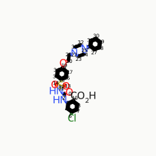 O=C(Nc1cc(Cl)ccc1C(=O)O)NS(=O)(=O)c1ccc(OCCN2CCN(c3ccccc3)CC2)cc1